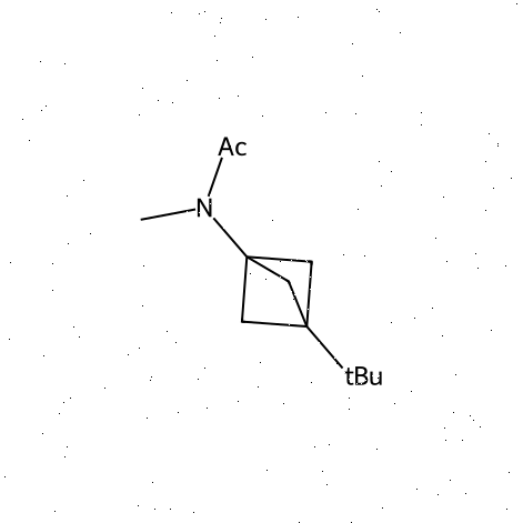 CC(=O)N(C)C12CC(C(C)(C)C)(C1)C2